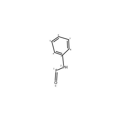 O=PPc1ccccc1